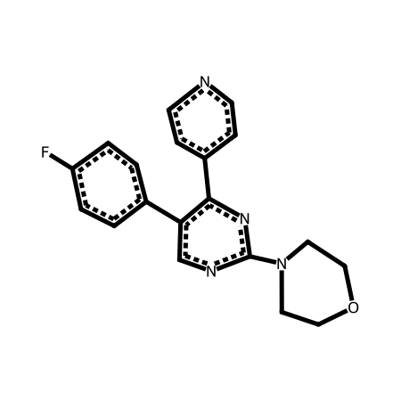 Fc1ccc(-c2cnc(N3CCOCC3)nc2-c2ccncc2)cc1